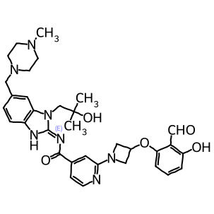 CN1CCN(Cc2ccc3[nH]/c(=N\C(=O)c4ccnc(N5CC(Oc6cccc(O)c6C=O)C5)c4)n(CC(C)(C)O)c3c2)CC1